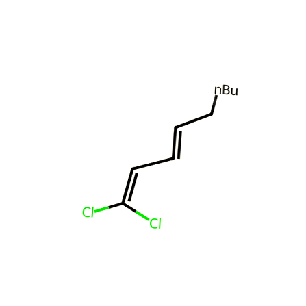 CCCCCC=CC=C(Cl)Cl